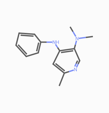 Cc1cc(Nc2ccccc2)c(N(C)C)cn1